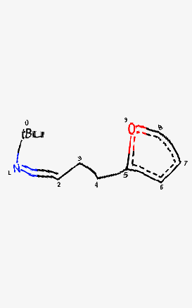 CC(C)(C)/N=C\CCc1ccco1